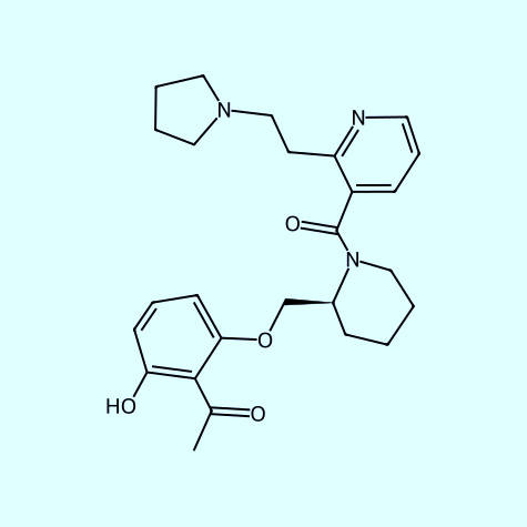 CC(=O)c1c(O)cccc1OC[C@@H]1CCCCN1C(=O)c1cccnc1CCN1CCCC1